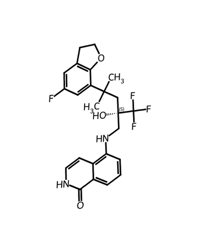 CC(C)(C[C@](O)(CNc1cccc2c(=O)[nH]ccc12)C(F)(F)F)c1cc(F)cc2c1OCC2